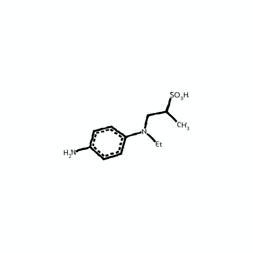 CCN(CC(C)S(=O)(=O)O)c1ccc(N)cc1